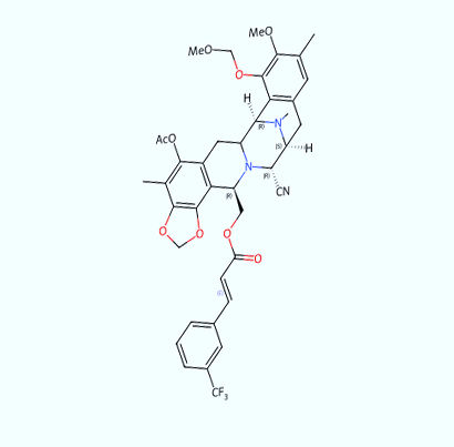 COCOc1c(OC)c(C)cc2c1[C@@H]1C3Cc4c(OC(C)=O)c(C)c5c(c4[C@H](COC(=O)/C=C/c4cccc(C(F)(F)F)c4)N3[C@@H](C#N)[C@H](C2)N1C)OCO5